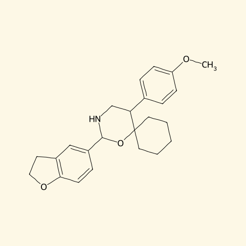 COc1ccc(C2CNC(c3ccc4c(c3)CCO4)OC23CCCCC3)cc1